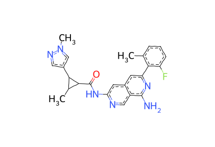 Cc1cccc(F)c1-c1cc2cc(NC(=O)C3C(C)C3c3cnn(C)c3)ncc2c(N)n1